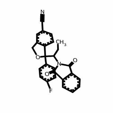 CCC(N1C(=O)c2ccccc2C1=O)C1(c2ccc(F)cc2)OCc2cc(C#N)ccc21